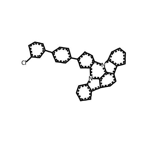 Clc1cccc(-c2ccc(-c3ccc4c(c3)n3c5ccccc5c5ccc6c7ccccc7n4c6c53)cc2)c1